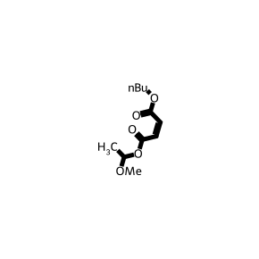 CCCCOC(=O)/C=C\C(=O)OC(C)OC